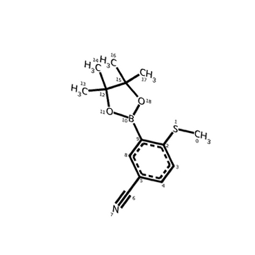 CSc1ccc(C#N)cc1B1OC(C)(C)C(C)(C)O1